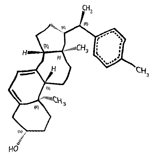 Cc1ccc([C@H](C)[C@H]2CC[C@H]3C4=CC=C5C[C@@H](O)CC[C@]5(C)[C@H]4CC[C@]23C)cc1